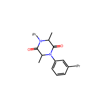 CC(C)c1cccc(N2C(=O)C(C)N(C(C)C)C(=O)C2C)c1